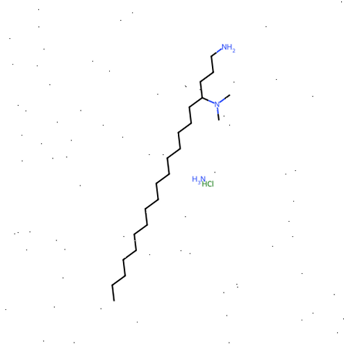 CCCCCCCCCCCCCCCCC(CCCN)N(C)C.Cl.N